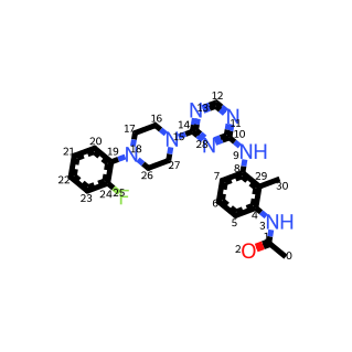 CC(=O)Nc1cccc(Nc2ncnc(N3CCN(c4ccccc4F)CC3)n2)c1C